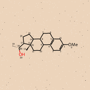 COC1=CCC2=C(CCC3C2CC[C@@]2(C)C3CCC2[C@@H](C)O)C1